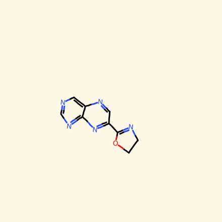 c1ncc2ncc(C3=NCCO3)nc2n1